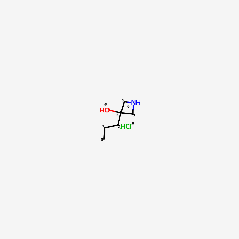 CCCC1(O)CNC1.Cl